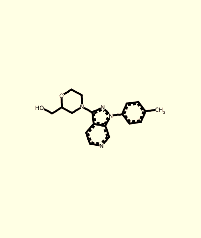 Cc1ccc(-n2nc(N3CCOC(CO)C3)c3ccncc32)cc1